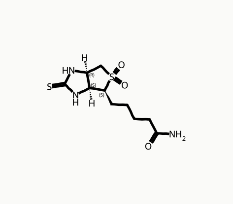 NC(=O)CCCC[C@H]1[C@H]2NC(=S)N[C@H]2CS1(=O)=O